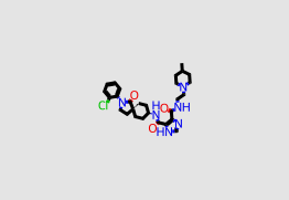 CC1CCN(CCNC(=O)c2nc[nH]c2C(=O)N[C@H]2CC[C@@]3(CCN(c4ccccc4Cl)C3=O)CC2)CC1